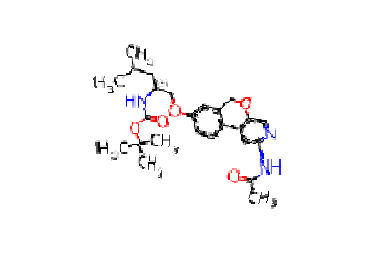 CC(=O)Nc1cc2c(cn1)OCc1cc(OC[C@H](CC(C)C)NC(=O)OC(C)(C)C)ccc1-2